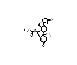 CC(=O)S[C@@H]1CC2=CC(=O)CCC2(C)C2CCC3C(CC[C@@]34CCC(=O)O4)C21